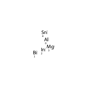 [Al].[Bi].[In].[Mg].[Sn]